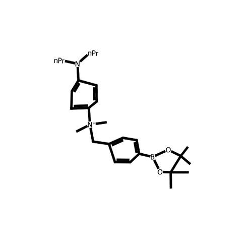 CCCN(CCC)c1ccc([N+](C)(C)Cc2ccc(B3OC(C)(C)C(C)(C)O3)cc2)cc1